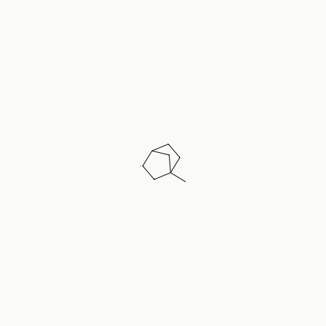 CC12C[CH]C(CC1)C2